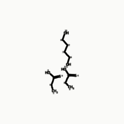 CCC(O)=S.CCC(O)=S.OCCCCO